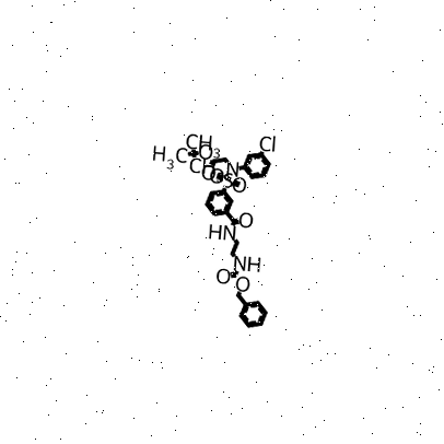 CC(C)(C)OC(=O)CN(c1cccc(Cl)c1)S(=O)(=O)c1cccc(C(=O)NCCNC(=O)OCc2ccccc2)c1